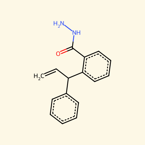 C=CC(c1ccccc1)c1ccccc1C(=O)NN